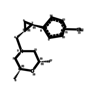 C[C@@H]1CN(C[C@@H]2C[C@H]2c2ccc(C(C)(C)C)cc2)C[C@H](C)O1